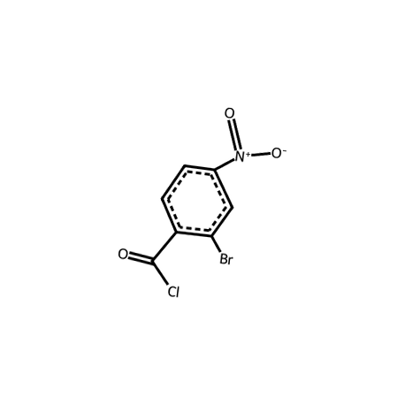 O=C(Cl)c1ccc([N+](=O)[O-])cc1Br